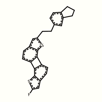 Fc1cc2ccc3c(c2s1)-c1ccc2cc(CCc4ccc5c(c4)CCC5)sc2c1-3